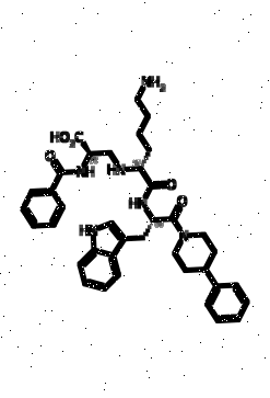 NCCCC[C@@H](NC[C@@H](NC(=O)c1ccccc1)C(=O)O)C(=O)N[C@@H](Cc1c[nH]c2ccccc12)C(=O)N1CCC(c2ccccc2)CC1